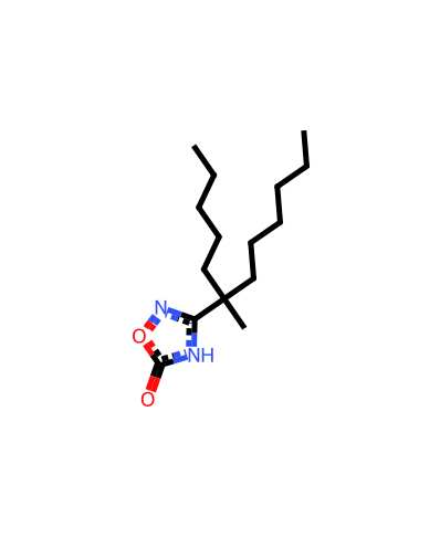 CCCCCCC(C)(CCCCC)c1noc(=O)[nH]1